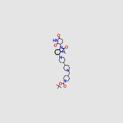 Cn1c(=O)n(C2CCC(=O)NC2=O)c2cccc(N3CCC(C4CCN(CC5CCN(C(=O)OC(C)(C)C)CC5)CC4)CC3)c21